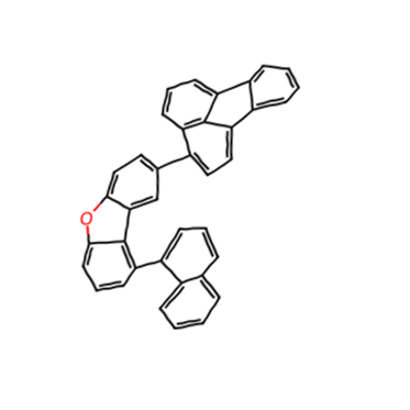 c1ccc2c(c1)-c1cccc3c(-c4ccc5oc6cccc(-c7cccc8ccccc78)c6c5c4)ccc-2c13